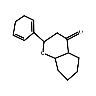 O=C1CC(C2=CCCC=C2)OC2CCCCC12